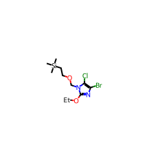 CCOc1nc(Br)c(Cl)n1COCC[Si](C)(C)C